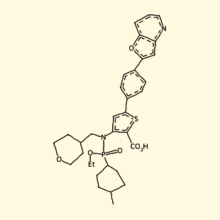 CCOP(=O)(C1CCC(C)CC1)N(CC1CCOCC1)c1cc(-c2ccc(-c3cc4ncccc4o3)cc2)sc1C(=O)O